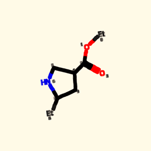 CCOC(=O)C1CNC(CC)C1